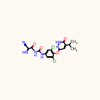 CC(C)c1cc(Oc2c(Cl)cc(NC(=O)NC(=O)C(=N)C#N)cc2Cl)n[nH]c1=O